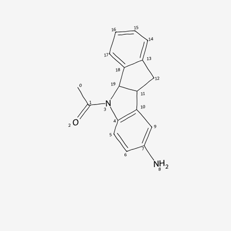 CC(=O)N1c2ccc(N)cc2C2Cc3ccccc3C21